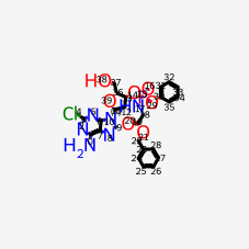 Nc1nc(Cl)nc2c1ncn2[C@H]1CC(OP(=O)(NCC(=O)OCc2ccccc2)Oc2ccccc2)C(CO)O1